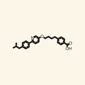 CC(C)Cc1ccc(-c2ccc(OCCCCc3ccc(C(=O)O)cc3)cn2)cc1